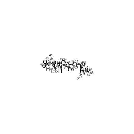 CCCCC(=O)N(Cc1ncc(-c2ccc3c(c2)COc2cc4c(ccc5nc([C@@H]6CCCN6C(=O)[C@@H](NC(=O)OC)[C@H](C)CC)[nH]c54)cc2-3)[nH]1)[C@@H](C)CC